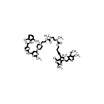 COc1c(C)cnc(Cn2cc(C#CCCOC(=O)N(C)CCN(C)C(=O)OCCN3CCN(c4cc(Nc5ncc(C(=O)Nc6c(C)cccc6Cl)s5)nc(C)n4)CC3)c3c(Cl)nc(N)nc32)c1C